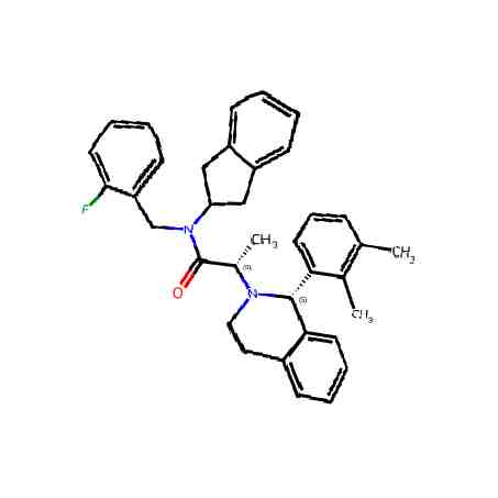 Cc1cccc([C@@H]2c3ccccc3CCN2[C@@H](C)C(=O)N(Cc2ccccc2F)C2Cc3ccccc3C2)c1C